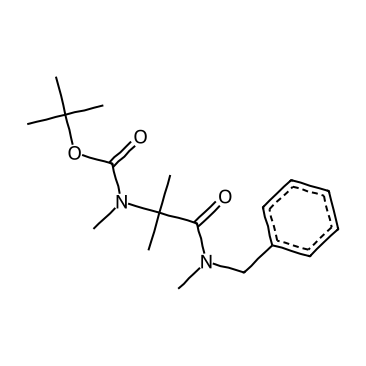 CN(Cc1ccccc1)C(=O)C(C)(C)N(C)C(=O)OC(C)(C)C